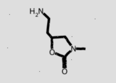 CN1CC(CCN)OC1=O